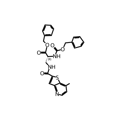 Cc1ccnc2cc(C(=O)NC[C@@H](NC(=O)OCc3ccccc3)C(=O)OCc3ccccc3)sc12